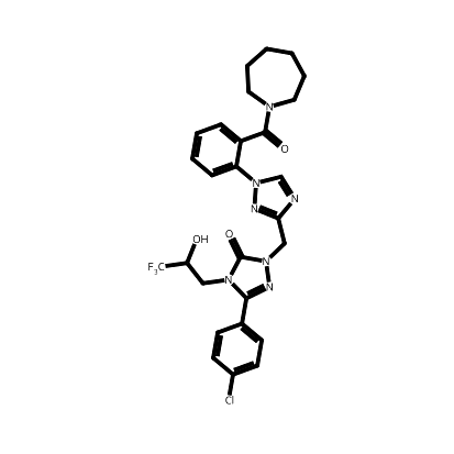 O=C(c1ccccc1-n1cnc(Cn2nc(-c3ccc(Cl)cc3)n(CC(O)C(F)(F)F)c2=O)n1)N1CCCCCC1